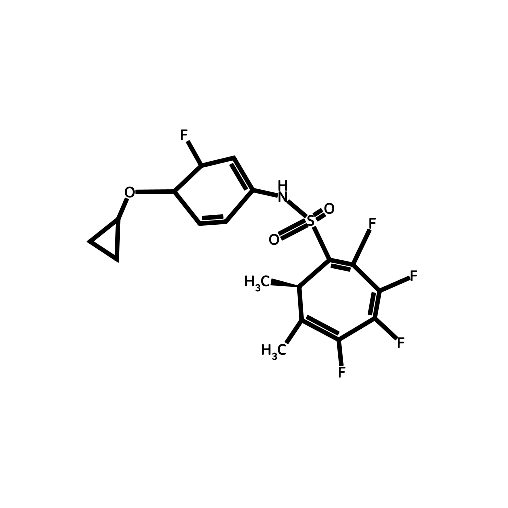 CC1=C(F)C(F)=C(F)C(F)=C(S(=O)(=O)NC2=CC(F)C(OC3CC3)C=C2)[C@@H]1C